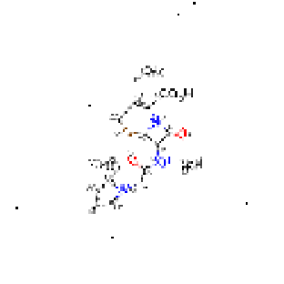 CC(=O)OCC1=C(C(=O)O)N2C(=O)C(NC(=O)Cn3cccc3C=O)C2SC1.[NaH]